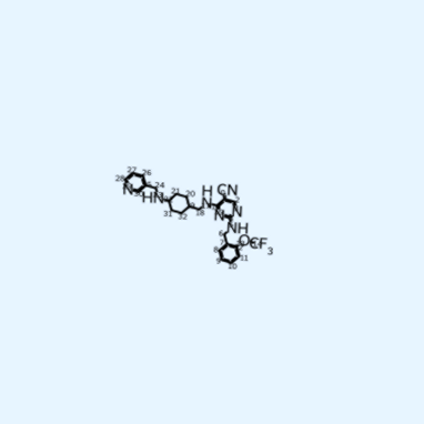 N#Cc1cnc(NCc2ccccc2OC(F)(F)F)nc1NCC1CCC(NCc2cccnc2)CC1